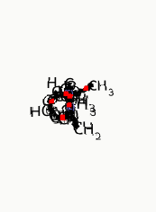 C=CCC1C[C@H]2CCOCC[C@@H](O)CC(=O)O[C@@H](CO)C[C@@H]3C/C(=C\C(=O)OC)[C@H](OC(=O)CCCCCCC)[C@@](O)(O3)C(C)(C)/C=C/[C@@H](O1)O2